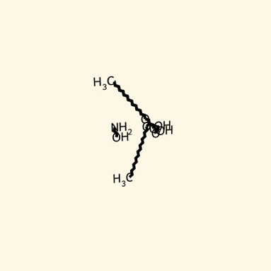 CCCCCCCCCCCCCCCCOCC(COP(=O)(O)O)OCCCCCCCCCCCCCCCC.NCCO